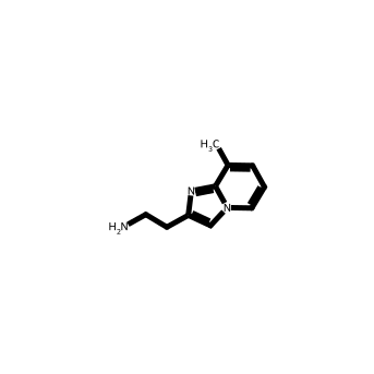 Cc1cccn2cc(CCN)nc12